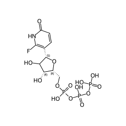 O=c1ccc([C@@H]2O[C@H](COP(=O)(O)OP(=O)(O)OP(=O)(O)O)[C@H](O)C2O)c(F)[nH]1